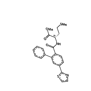 COC(=O)[C@H](CCSC)NC(=O)c1ccc(-c2nccs2)cc1-c1ccccc1